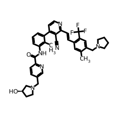 Cc1cc(/C=C/c2nccc(-c3cccc(NC(=O)c4ccc(CN5CC[C@@H](O)C5)cn4)c3C)c2C#N)c(C(F)(F)F)cc1CN1CCCC1